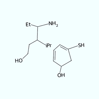 CCC(N)C(CCO)C(C)C.OC1C=CC=C(S)C1